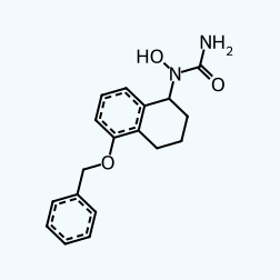 NC(=O)N(O)C1CCCc2c(OCc3ccccc3)cccc21